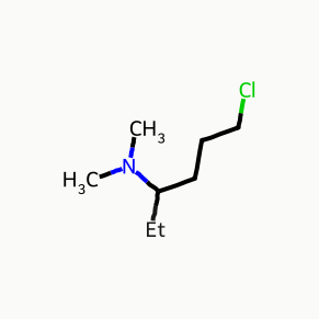 CCC(CCCCl)N(C)C